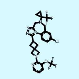 FC(F)(F)Oc1cccnc1N1CC2(CC(c3nnc4n3-c3ccc(Cl)cc3CN(C3(C(F)(F)F)CC3)C4)C2)C1